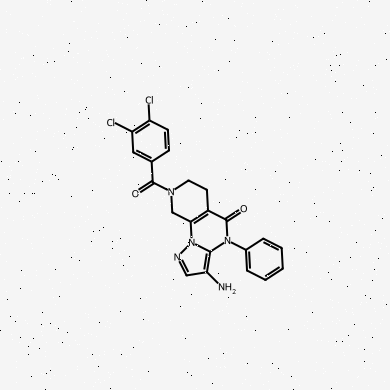 Nc1cnn2c3c(c(=O)n(-c4ccccc4)c12)CCN(C(=O)c1ccc(Cl)c(Cl)c1)C3